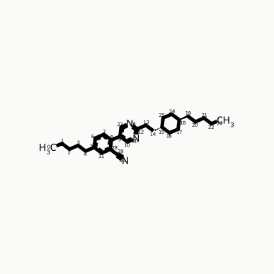 CCCCCc1ccc(-c2cnc(CC[C@H]3CC[C@H](CCCCC)CC3)nc2)c(C#N)c1